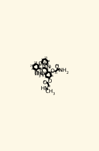 CNCC(=O)Oc1cc(C)c(-c2nc3ccccn3c2Nc2c(C)cccc2C)c(OCC(N)=O)c1